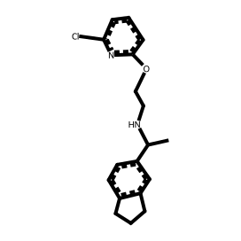 CC(NCCOc1cccc(Cl)n1)c1ccc2c(c1)CCC2